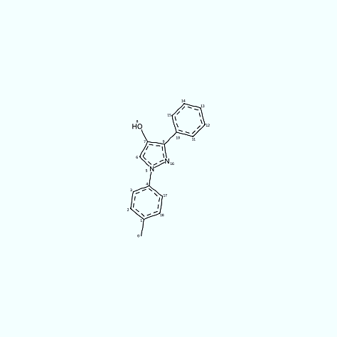 Cc1ccc(-n2cc(O)c(-c3ccccc3)n2)cc1